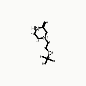 C=C1CN(CCOC(C)(C)C)CCN1